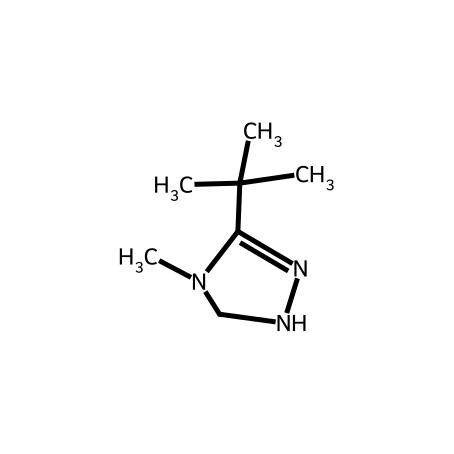 CN1CNN=C1C(C)(C)C